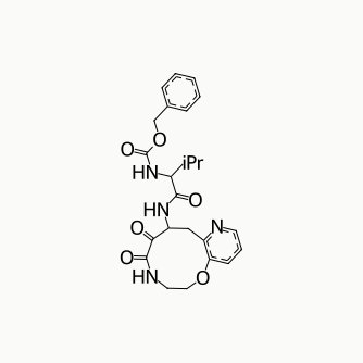 CC(C)C(NC(=O)OCc1ccccc1)C(=O)NC1Cc2ncccc2OCCNC(=O)C1=O